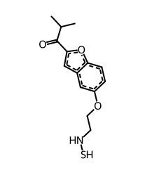 CC(C)C(=O)c1cc2cc(OCCNS)ccc2o1